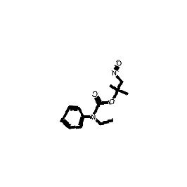 CCN(C(=O)OC(C)(C)CN=O)c1ccccc1